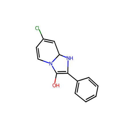 OC1=C(c2ccccc2)NC2C=C(Cl)C=CN12